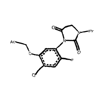 CC(=O)COc1cc(N2C(=O)CN(C(C)C)C2=O)c(F)cc1Cl